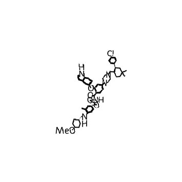 CO[C@H]1CC[C@H](CNc2ccc(S(=O)(=O)NC(=O)c3ccc(N4CCN(CC5=C(c6ccc(Cl)cc6)CC(C)(C)CC5)CC4)cc3Oc3ccc4[nH]ccc4c3)cc2C)CC1